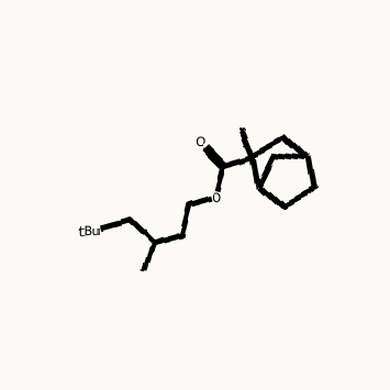 CC(CCOC(=O)C1(C)CC2CCC1C2)CC(C)(C)C